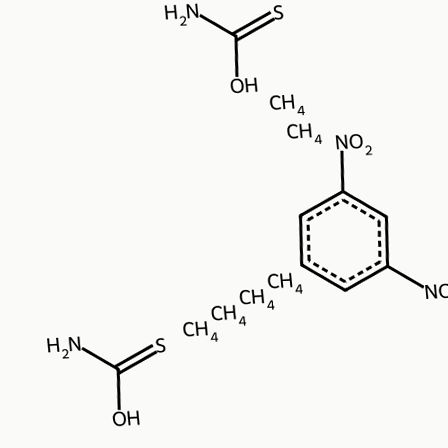 C.C.C.C.C.C.NC(O)=S.NC(O)=S.O=[N+]([O-])c1cccc([N+](=O)[O-])c1